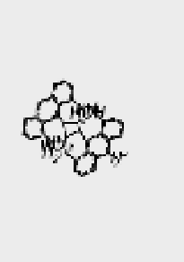 CN(C)c1c2cccc(N)c2c(C2C(O)C(c3c4c(N)cccc4cc4cccc(N)c34)C2O)c2c(N)cccc12